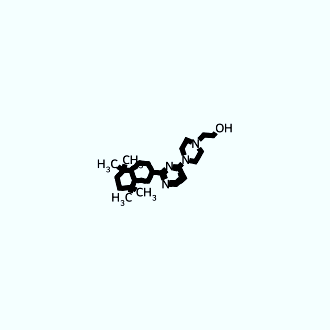 CC1(C)CCC(C)(C)C2CC(c3nccc(N4CCN(CCO)CC4)n3)CCC21